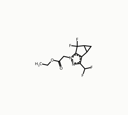 CCOC(=O)Cn1nc(C(F)F)c2c1C(F)(F)C1CC21